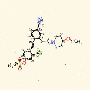 CCOC1CCN(CCCc2cc(C#N)ccc2C#Cc2ccc(OS(C)(=O)=O)cc2C(F)(F)F)CC1